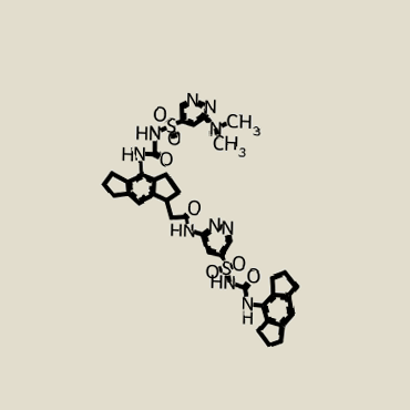 CN(C)c1cc(S(=O)(=O)NC(=O)Nc2c3c(cc4c2CCC4CC(=O)Nc2cc(S(=O)(=O)NC(=O)Nc4c5c(cc6c4CCC6)CCC5)cnn2)CCC3)cnn1